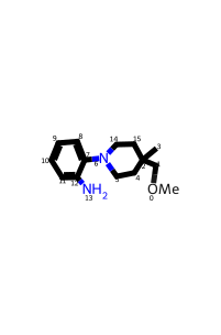 COCC1(C)CCN(c2ccccc2N)CC1